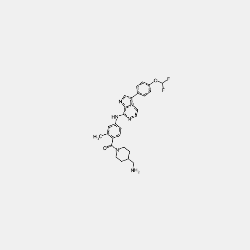 Cc1cc(Nc2nccn3c(-c4ccc(OC(F)F)cc4)cnc23)ccc1C(=O)N1CCC(CN)CC1